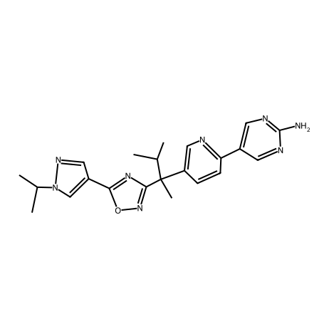 CC(C)n1cc(-c2nc(C(C)(c3ccc(-c4cnc(N)nc4)nc3)C(C)C)no2)cn1